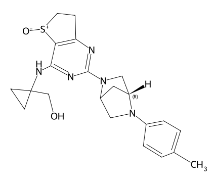 Cc1ccc(N2CC3C[C@@H]2CN3c2nc3c(c(NC4(CO)CC4)n2)[S+]([O-])CC3)cc1